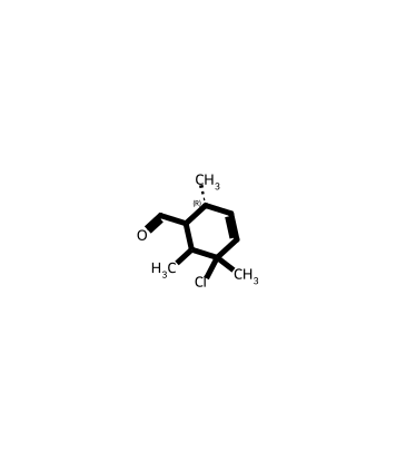 CC1C(C=O)[C@H](C)C=CC1(C)Cl